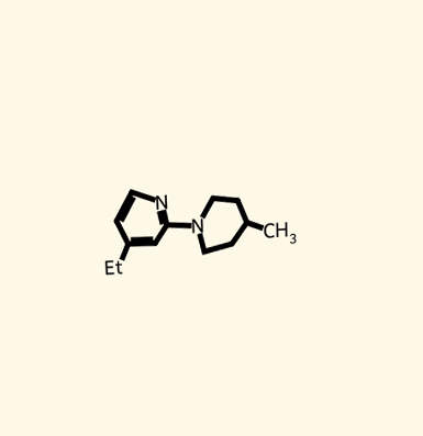 CCc1ccnc(N2CCC(C)CC2)c1